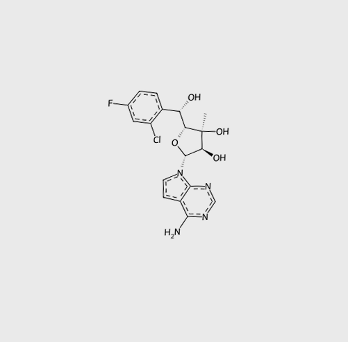 C[C@@]1(O)[C@@H]([C@@H](O)c2ccc(F)cc2Cl)O[C@@H](n2ccc3c(N)ncnc32)[C@@H]1O